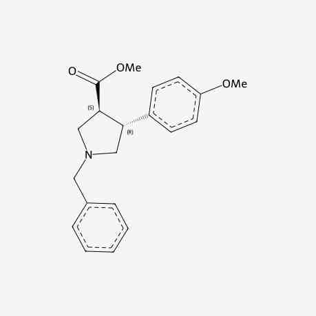 COC(=O)[C@@H]1CN(Cc2ccccc2)C[C@H]1c1ccc(OC)cc1